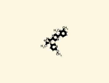 COc1ccc(-n2c(C)nnc2-c2cnc(-c3cccc(C)c3C)cn2)cn1